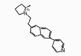 C[C@@H]1CCCN1CCc1ccc2cc(-c3ccncc3)ccc2c1